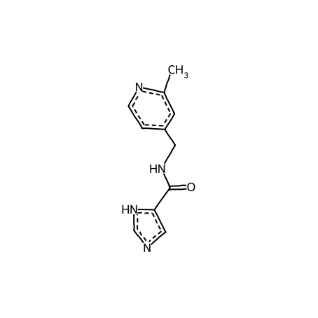 Cc1cc(CNC(=O)c2cnc[nH]2)ccn1